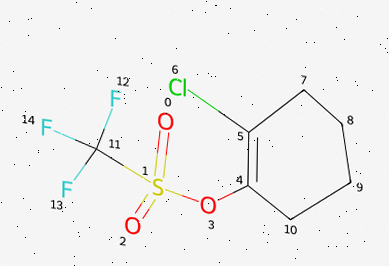 O=S(=O)(OC1=C(Cl)CCCC1)C(F)(F)F